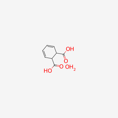 O.O=C(O)C1C=CC=CC1C(=O)O